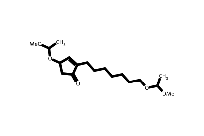 COC(C)OCCCCCCCC1=CC(OC(C)OC)CC1=O